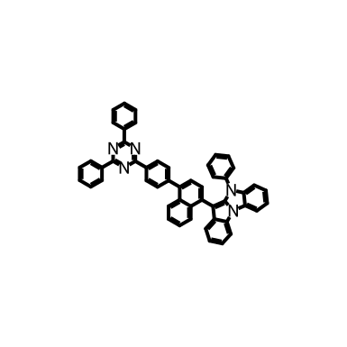 c1ccc(-c2nc(-c3ccccc3)nc(-c3ccc(-c4ccc(-c5c6ccccc6n6c7ccccc7n(-c7ccccc7)c56)c5ccccc45)cc3)n2)cc1